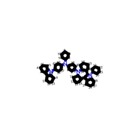 c1ccc(N(c2ccc(N3c4ccccc4-c4c(n(-c5ccccc5)c5ccccc45)-c4ccccc43)cc2)c2ccc(-n3c4ccccc4c4ccccc43)cc2)cc1